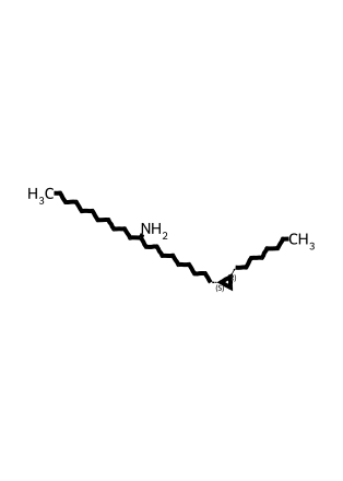 CCCCCCCCCCCC(N)CCCCCCCCC[C@H]1C[C@H]1CCCCCCCC